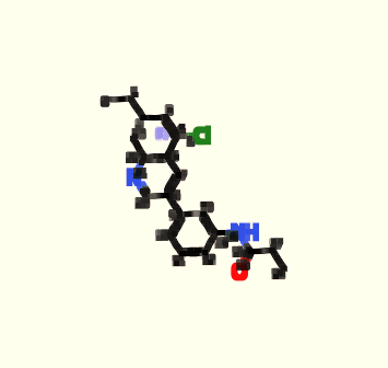 CCC/C=C(/Cl)c1cc(-c2cccc(NC(=O)CC)c2)cnc1C